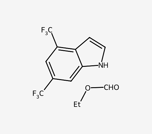 CCOC=O.FC(F)(F)c1cc(C(F)(F)F)c2cc[nH]c2c1